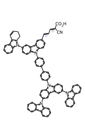 N#C/C(=C\C=C\c1ccc2c(c1)c1cc(-n3c4c(c5ccccc53)C=CCC4)ccc1n2-c1ccc(-c2ccc(-n3c4ccc(-n5c6ccccc6c6ccccc65)cc4c4cc(-n5c6ccccc6c6ccccc65)ccc43)cc2)cc1)C(=O)O